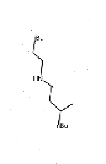 CCCCC(C)CCNCCC(C)CC